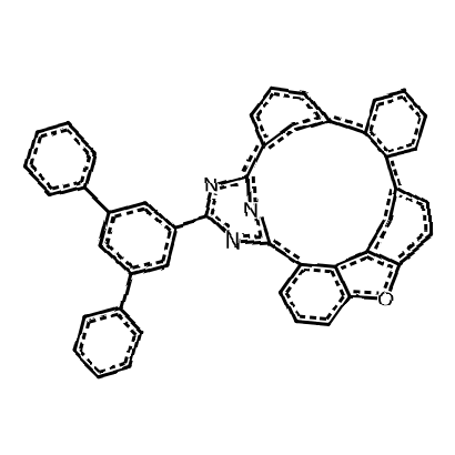 c1ccc(-c2cc(-c3ccccc3)cc(-c3nc4nc(n3)c3cccc5oc6ccc(cc6c53)c3ccccc3c3cccc4c3)c2)cc1